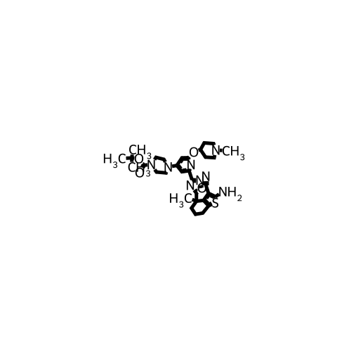 CN1CCC(Oc2cc(N3CCN(C(=O)OC(C)(C)C)CC3)cc(-c3noc(C4(C)CCCc5sc(N)c(C#N)c54)n3)n2)CC1